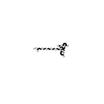 CN(C=O)CC(COCCOCCOCCOCCOCCC(=O)O)(CN(C)C(=O)/C=C\C=O)CN1C(=O)C=CC1=O